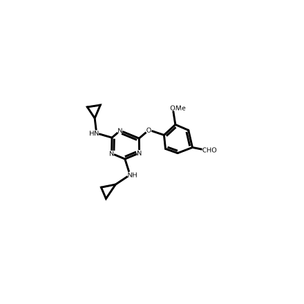 COc1cc(C=O)ccc1Oc1nc(NC2CC2)nc(NC2CC2)n1